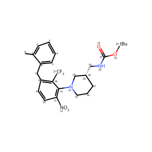 Cc1ccccc1Cc1ccc([N+](=O)[O-])c(N2CCC[C@@H](CNC(=O)OC(C)(C)C)C2)c1C(F)(F)F